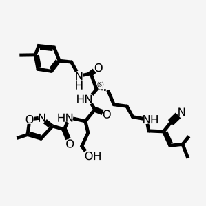 Cc1ccc(CNC(=O)[C@H](CCCCNCC(C#N)=CC(C)C)NC(=O)C(CCO)NC(=O)c2cc(C)on2)cc1